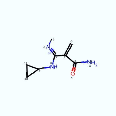 C=C(C(N)=O)/C(=N\C)NC1CC1